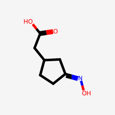 O=C(O)CC1CCC(=NO)C1